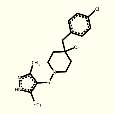 Cc1n[nH]c(C)c1SN1CCC(O)(Cc2ccc(Cl)cc2)CC1